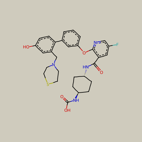 O=C(O)N[C@H]1CC[C@H](NC(=O)c2cc(F)cnc2Oc2cccc(-c3ccc(O)cc3CN3CCSCC3)c2)CC1